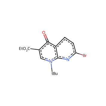 CCOC(=O)c1cn(C(C)(C)C)c2nc(Br)ccc2c1=O